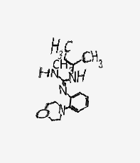 CCC(C)N/C(=N\c1ccccc1N1CCOCC1)NC